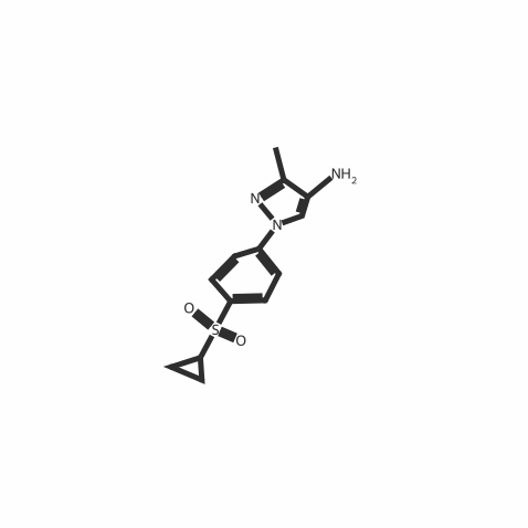 Cc1nn(-c2ccc(S(=O)(=O)C3CC3)cc2)cc1N